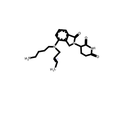 C/C=C/CN(CCCCN)c1cccc2c1CN(C1CCC(=O)NC1=O)C2=O